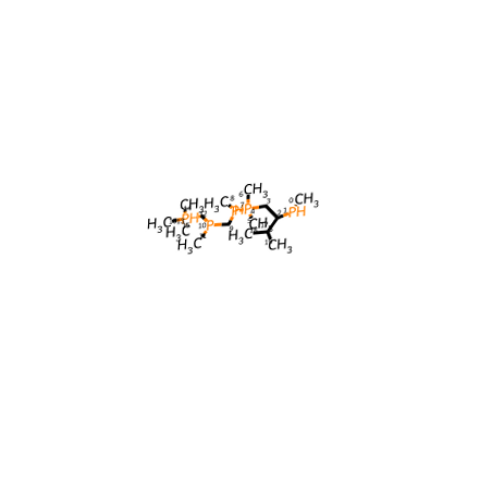 CPC(C[PH](C)(C)P(C)CP(C)C[PH](C)(C)C)C(C)C